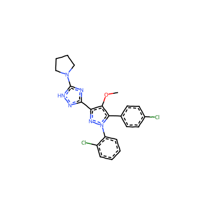 COc1c(-c2n[nH]c(N3CCCC3)n2)nn(-c2ccccc2Cl)c1-c1ccc(Cl)cc1